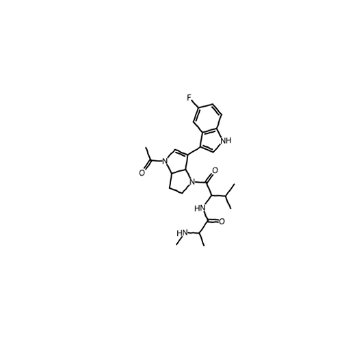 CNC(C)C(=O)NC(C(=O)N1CCC2C1C(c1c[nH]c3ccc(F)cc13)=CN2C(C)=O)C(C)C